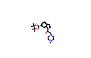 CN1CCN(CC(=O)n2ccc3ccc(B4OC(C)(C)C(C)(C)O4)cc32)CC1